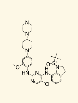 COc1cc(N2CCC(N3CCN(C)CC3)CC2)ccc1Nc1ncc(Cl)c(Nc2cccc3c2N([S+]([O-])C(C)(C)C)CC3)n1